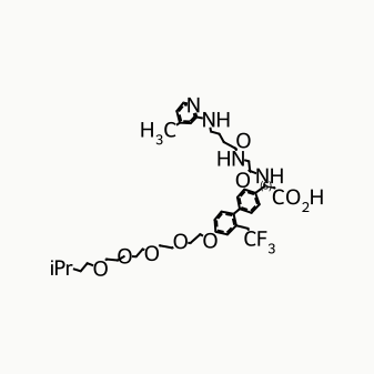 Cc1ccnc(NCCCC(=O)NCC(=O)N[C@@H](CC(=O)O)c2ccc(-c3ccc(OCCOCCOCCOCCOCCC(C)C)cc3CC(F)(F)F)cc2)c1